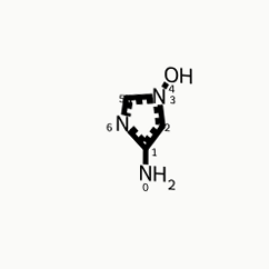 Nc1cn(O)cn1